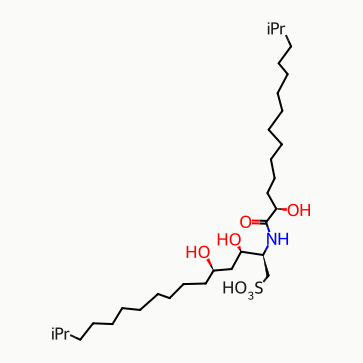 CC(C)CCCCCCCCCC[C@@H](O)C(=O)N[C@@H](CS(=O)(=O)O)[C@H](O)C[C@H](O)CCCCCCCCCC(C)C